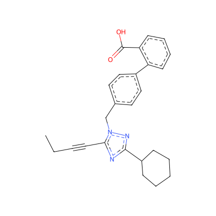 CCC#Cc1nc(C2CCCCC2)nn1Cc1ccc(-c2ccccc2C(=O)O)cc1